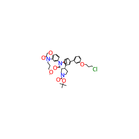 COCCCN1C(=O)COc2ccc(N(C(=O)[C@H]3CN(C(=O)OC(C)(C)C)CC[C@@H]3c3cccc(-c4cccc(OCCCCl)c4)c3)C3CC3)cc21